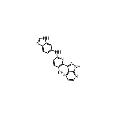 FC(F)(F)c1ccc(Nc2ccc3nc[nH]c3c2)nc1-c1n[nH]c2ncccc12